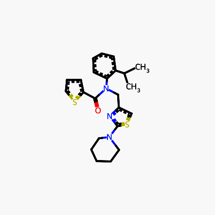 CC(C)c1ccccc1N(Cc1csc(N2CCCCC2)n1)C(=O)c1cccs1